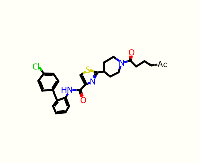 CC(=O)CCCC(=O)N1CCC(c2nc(C(=O)Nc3ccccc3-c3ccc(Cl)cc3)cs2)CC1